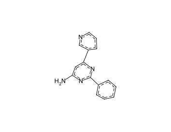 Nc1cc(-c2cccnc2)nc(-c2ccccc2)n1